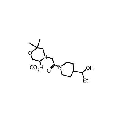 CCC(O)C1CCN(C(=O)CN2CC(C)(C)OCC2C(=O)O)CC1